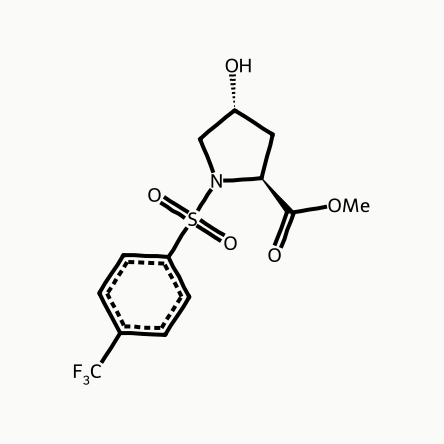 COC(=O)[C@@H]1C[C@@H](O)CN1S(=O)(=O)c1ccc(C(F)(F)F)cc1